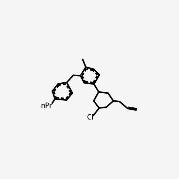 C=CCC1CC(Cl)CC(c2ccc(C)c(Cc3ccc(CCC)cc3)c2)C1